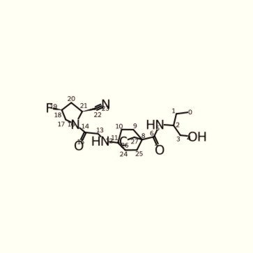 CCC(CO)NC(=O)C12CCC(NCC(=O)N3C[C@@H](F)C[C@H]3C#N)(CC1)CC2